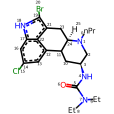 CCCN1C[C@@H](NC(=O)N(CC)CC)CC2c3cc(Cl)cc4[nH]c(Br)c(c34)C[C@H]21